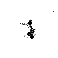 COc1cc(C(C)=O)ccc1OCCCN1CCC(C(O)(c2ccccc2)c2cccc(C(F)(F)F)c2)CC1.Cl.O